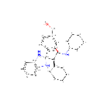 O=C(NC1CCCCC1)[C@@H](C1CCCCC1)C1(c2ccc(CO)cc2)Nc2ccccc2N1